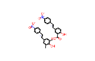 Cc1cc(/C=C/c2ccc([N+](=O)[O-])cc2)cc(C)c1O.O=C(O)c1cc(/C=C/c2ccc([N+](=O)[O-])cc2)ccc1O